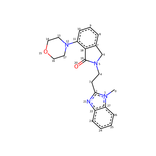 Cn1c(CCN2Cc3cccc(N4CCOCC4)c3C2=O)nc2ccccc21